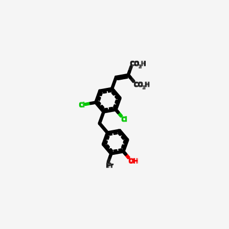 CC(C)c1cc(Cc2c(Cl)cc(C=C(C(=O)O)C(=O)O)cc2Cl)ccc1O